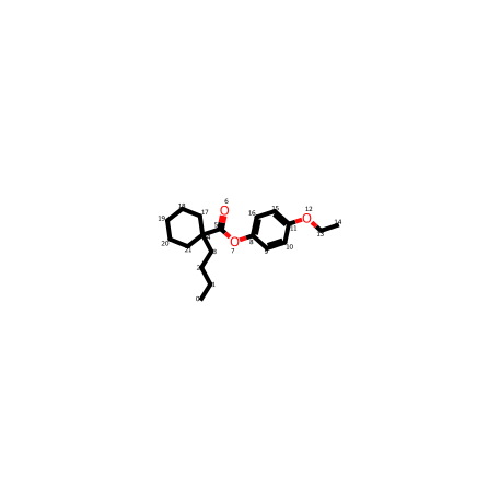 CCCCC1(C(=O)Oc2ccc(OCC)cc2)CCCCC1